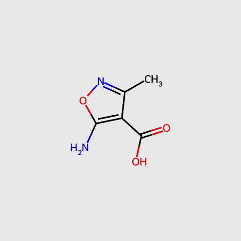 Cc1noc(N)c1C(=O)O